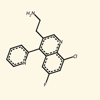 NCCc1cnc2c(Cl)cc(F)cc2c1-c1ccccn1